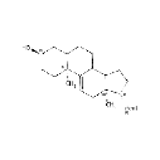 CCC[C@@H](C)[C@H]1CCC2C3CCC4C[C@H](O)CC[C@]4(C)C3=CC[C@@]21C